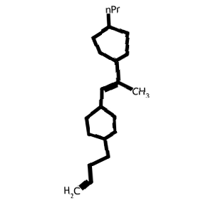 C=CCCC1CCC(/C=C(\C)C2CCC(CCC)CC2)CC1